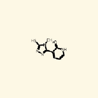 Cn1c(S)nnc1-c1ccc[nH]c1=O